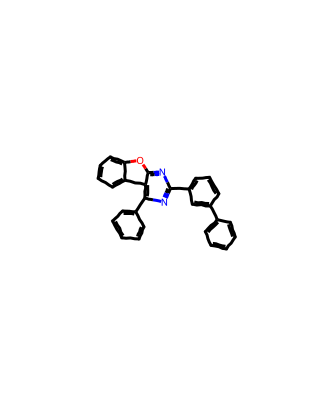 c1ccc(-c2cccc(-c3nc(-c4ccccc4)c4c(n3)oc3ccccc34)c2)cc1